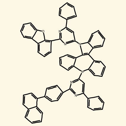 c1ccc(-c2cc(N3c4ccccc4-c4c(n(-c5cc(-c6ccccc6)nc(-c6cccc7c6oc6ccccc67)n5)c5ccccc45)-c4ccccc43)nc(-c3ccc(-c4cccc5ccccc45)cc3)n2)cc1